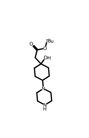 CC(C)(C)OC(=O)CC1(O)CCC(N2CCNCC2)CC1